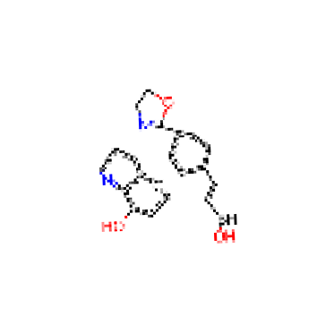 OBC=Cc1ccc(C2=NCCO2)cc1.Oc1cccc2cccnc12